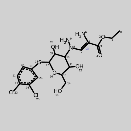 CCOC(=O)/C(N)=C/N(N)C1C(O)C(CO)OC(Sc2ccc(Cl)c(Cl)c2)C1O